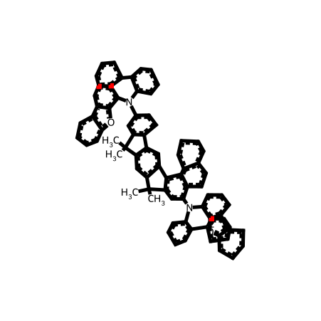 CC1(C)c2cc(N(c3ccccc3-c3ccccc3)c3cccc4c3oc3ccccc34)ccc2-c2cc3c(cc21)C(C)(C)c1cc(N(c2ccccc2-c2ccccc2)c2cccc4c2oc2ccccc24)c2ccc4ccccc4c2c1-3